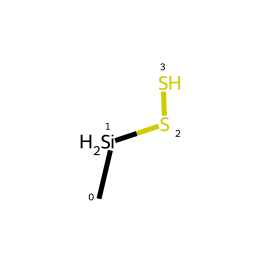 C[SiH2]SS